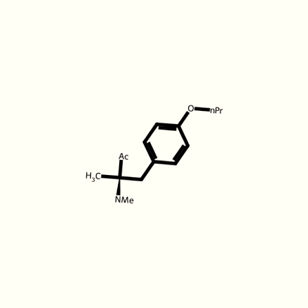 CCCOc1ccc(C[C@@](C)(NC)C(C)=O)cc1